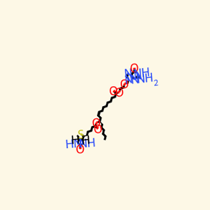 CCCCCC[C@H](C/C=C\CCCCCCCC(=O)OCCOCn1cnc2c(=O)[nH]c(N)nc21)OC(=O)CCCC[C@@H]1SC[C@@H]2NC(=O)N[C@@H]21